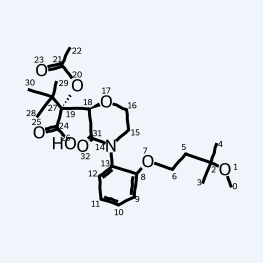 COC(C)(C)CCOc1ccccc1N1CCO[C@H]([C@@](OC(C)=O)(C(=O)O)C(C)(C)C)C1=O